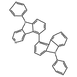 c1ccc(-n2c3ccccc3c3c(-c4cccc5c4c4cnccc4n5-c4ccccc4)cccc32)cc1